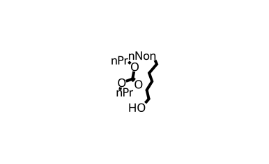 CCCCCCCCCCCCCCO.CCCOC(=O)OCCC